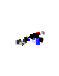 CCCOc1cc(NC2CCCC2)c2[nH]c(C3=N[C@H](CC(=O)O)CS3)cc2c1